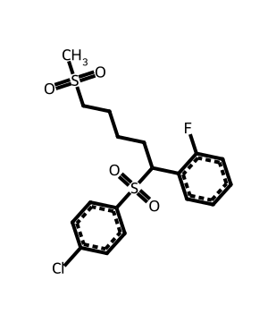 CS(=O)(=O)CCCCC(c1ccccc1F)S(=O)(=O)c1ccc(Cl)cc1